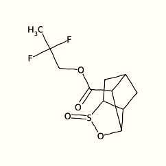 CC(F)(F)COC(=O)C1C2CC3C1OS(=O)C3C2